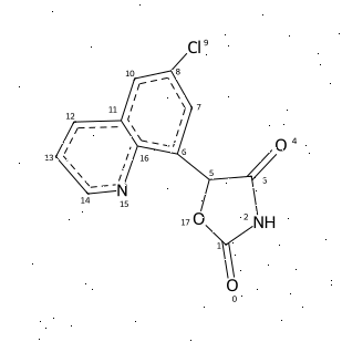 O=C1NC(=O)C(c2cc(Cl)cc3cccnc23)O1